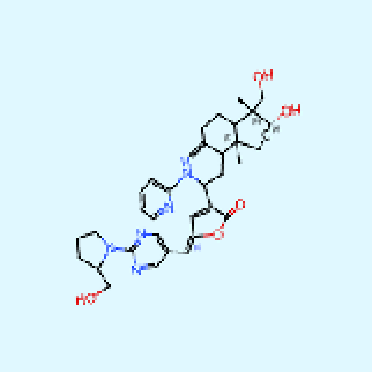 C=C1CCC2[C@](C)(CC[C@@H](O)[C@@]2(C)CO)C1CC(Nc1ccccn1)C1=C/C(=C\c2cnc(N3CCCC3CO)nc2)OC1=O